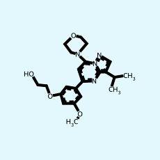 COc1cc(OCCO)cc(-c2cc(N3CCOCC3)n3ncc(C(C)C)c3n2)c1